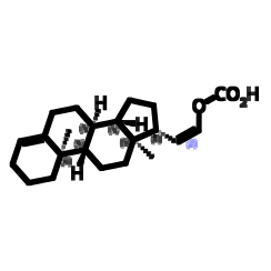 C[C@]12CC[C@H]3[C@@H](CCC4=CCCC[C@@]43C)[C@@H]1CC[C@@H]2/C=C\OC(=O)O